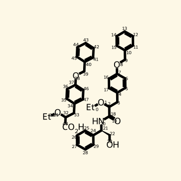 CCOC(Cc1ccc(OCc2ccccc2)cc1)C(=O)N[C@@H](CO)c1ccccc1.CCOC(Cc1ccc(OCc2ccccc2)cc1)C(=O)O